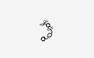 OB(O)c1ccc2nc(CC3CCN(Cc4ccccc4)CC3)oc2c1